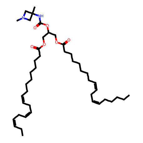 CC/C=C\C/C=C\C/C=C\CCCCCCCC(=O)OCC(COC(=O)CCCCCCC/C=C\C/C=C\CCCCC)OC(=O)NC1(C)CN(C)C1